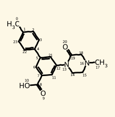 Cc1ccc(-c2cc(C(=O)O)cc(N3CCN(C)CC3=O)c2)cc1